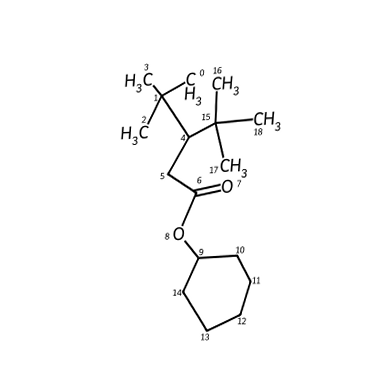 CC(C)(C)C(CC(=O)OC1CCCCC1)C(C)(C)C